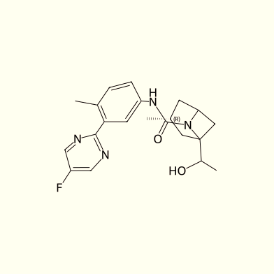 Cc1ccc(NC(=O)N2C3C[C@@H](C)CC2(C(C)O)C3)cc1-c1ncc(F)cn1